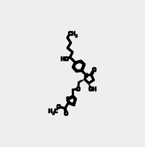 CCCCCC(O)c1ccc(N2C(=O)C[C@H](O)[C@@H]2COCc2ccc(C(=O)OC)s2)cc1